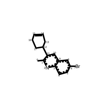 Cc1nc2ccc(Br)cc2cc1C1CC=CCC1